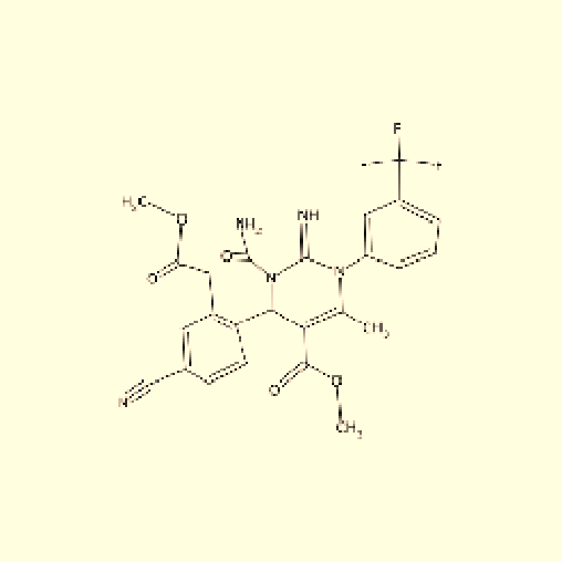 COC(=O)Cc1cc(C#N)ccc1C1C(C(=O)OC)=C(C)N(c2cccc(C(F)(F)F)c2)C(=N)N1C(N)=O